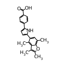 Cc1oc2c(C)cc(-c3ccc(-c4ccc(C(=O)O)cc4)[nH]3)c(C)c2c1C